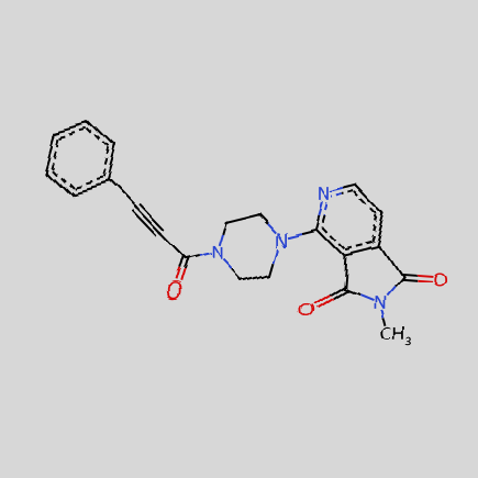 CN1C(=O)c2ccnc(N3CCN(C(=O)C#Cc4ccccc4)CC3)c2C1=O